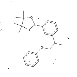 CC(COc1ccccc1)c1cccc(B2OC(C)(C)C(C)(C)O2)c1